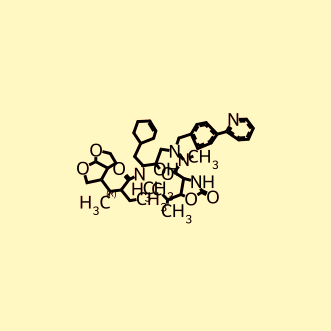 CCC(C(=O)N(C)C(CC1CC=CCC1)C(O)CN(Cc1ccc(-c2ccccn2)cc1)N(C)C(=O)C1NC(=O)OC1C(C)C)[C@H](C)C1COC2OCCC21